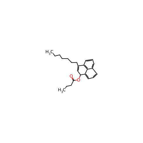 CCCCCCCC1=CC(OC(=O)CCC)c2cccc3cccc1c23